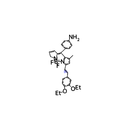 CCOc1ccc(/C=C/c2cc(C)c3n2[B-](F)(F)N2CC=CC2=C3c2ccc(N)cc2)cc1OCC